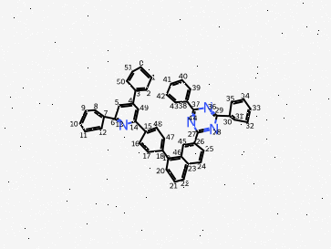 c1ccc(-c2cc(-c3ccccc3)nc(-c3ccc(-c4cccc5ccc(-c6nc(-c7ccccc7)nc(-c7ccccc7)n6)cc45)cc3)c2)cc1